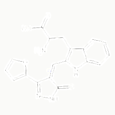 NC(Cc1c(/C=C2\C(=O)NN=C2c2ccco2)[nH]c2ccccc12)C(=O)O